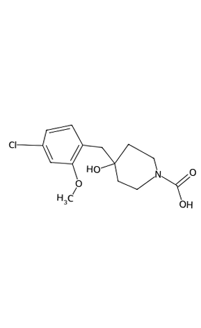 COc1cc(Cl)ccc1CC1(O)CCN(C(=O)O)CC1